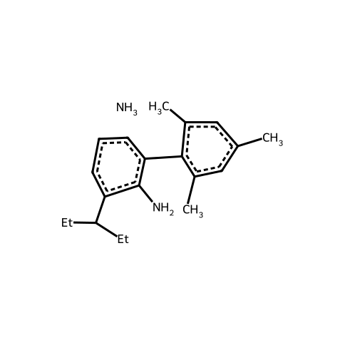 CCC(CC)c1cccc(-c2c(C)cc(C)cc2C)c1N.N